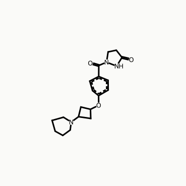 O=C1CCN(C(=O)c2ccc(OC3CC(N4CCCCC4)C3)cc2)N1